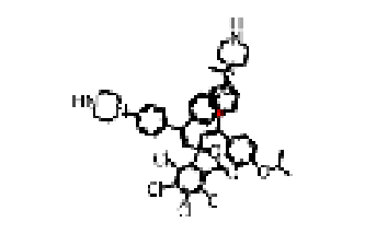 CC(C)Oc1ccc(/C(=C\C2(/C=C(\c3ccc(OC(C)C)cc3)c3ccc(N4CCNCC4)cc3)OC(=O)c3c(Cl)c(Cl)c(Cl)c(Cl)c32)c2ccc(N3CCNCC3)cc2)cc1